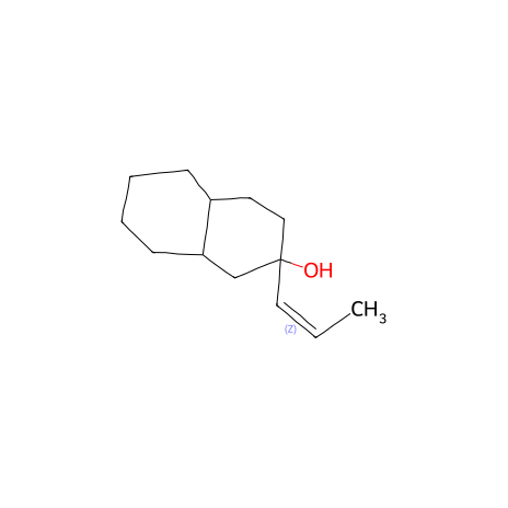 C/C=C\C1(O)CCC2CCCCC2C1